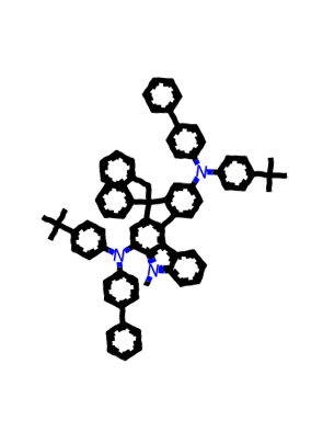 Cn1c2ccccc2c2c3c(cc(N(c4ccc(-c5ccccc5)cc4)c4ccc(C(C)(C)C)cc4)c21)C(Cc1ccccc1)(c1ccccc1)c1cc(N(c2ccc(-c4ccccc4)cc2)c2ccc(C(C)(C)C)cc2)ccc1-3